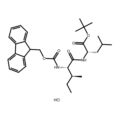 CC[C@H](C)[C@H](NC(=O)OCC1c2ccccc2-c2ccccc21)C(=O)N[C@@H](CC(C)C)C(=O)OC(C)(C)C.Cl